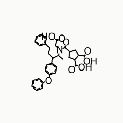 CC(C(CCc1ccccc1)c1ccc(Oc2ccccc2)cc1)N(CC(=O)O)C(=O)C1CC(C(=O)O)C(C(=O)O)C1